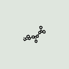 c1ccc(-n2c3ccccc3c3cc(-c4ccc5c(c4)c4ccc(-c6ccc7c8c(cccc68)-c6ncccc6-7)cc4n5-c4ccccc4)ccc32)cc1